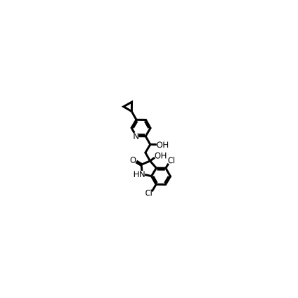 O=C1Nc2c(Cl)ccc(Cl)c2C1(O)CC(O)c1ccc(C2CC2)cn1